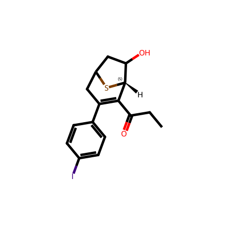 CCC(=O)C1=C(c2ccc(I)cc2)CC2CC(O)[C@H]1S2